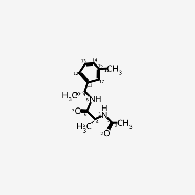 CC(=O)N[C@H](C)C(=O)N[C@H](C)c1cccc(C)c1